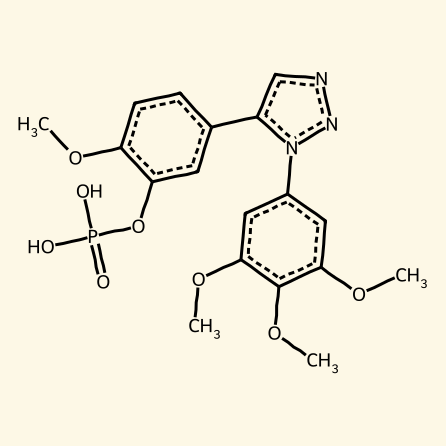 COc1ccc(-c2cnnn2-c2cc(OC)c(OC)c(OC)c2)cc1OP(=O)(O)O